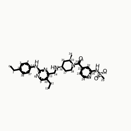 CCc1ccc(Nc2ncc(CC)c(CN[C@@H]3CCN(C(=O)c4ccnc(NS(C)(=O)=O)c4)[C@H](C)C3)n2)cc1